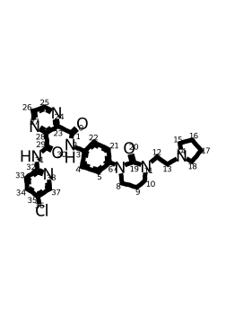 O=C(Nc1ccc(N2CCCN(CCN3CCCC3)C2=O)cc1)c1nccnc1C(=O)Nc1ccc(Cl)cn1